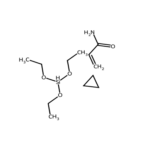 C1CC1.C=CC(N)=O.CCO[SiH](OCC)OCC